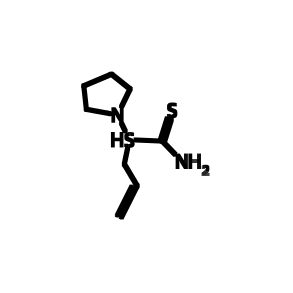 C=CC[SH](C(N)=S)N1CCCC1